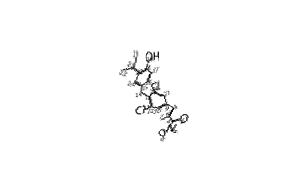 CON(C)C(=O)/C(C)=C/c1cc(Cl)c(Cc2ccc(O)c(C(C)C)c2)c(Cl)c1